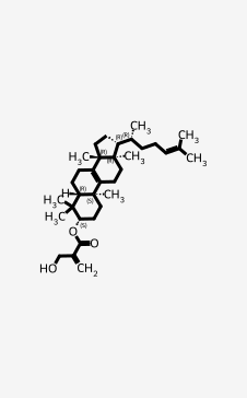 C=C(CO)C(=O)O[C@H]1CC[C@]2(C)C3=C(CC[C@H]2C1(C)C)[C@]1(C)CC[C@H]([C@H](C)CCC=C(C)C)[C@@]1(C)CC3